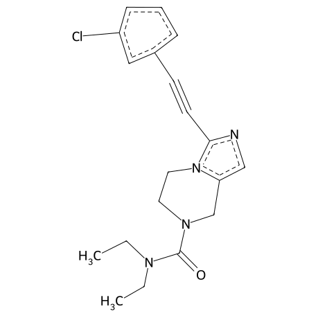 CCN(CC)C(=O)N1CCn2c(cnc2C#Cc2cccc(Cl)c2)C1